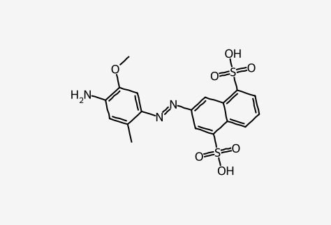 COc1cc(/N=N/c2cc(S(=O)(=O)O)c3cccc(S(=O)(=O)O)c3c2)c(C)cc1N